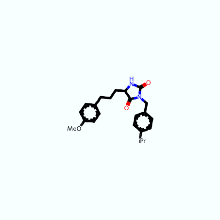 COc1ccc(CCCC2NC(=O)N(Cc3ccc(C(C)C)cc3)C2=O)cc1